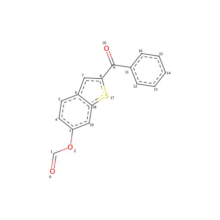 O=COc1ccc2cc(C(=O)c3ccccc3)sc2c1